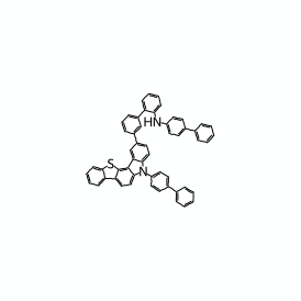 c1ccc(-c2ccc(Nc3ccccc3-c3cccc(-c4ccc5c(c4)c4c6sc7ccccc7c6ccc4n5-c4ccc(-c5ccccc5)cc4)c3)cc2)cc1